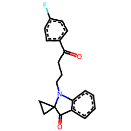 O=C(CCCN1c2ccccc2C(=O)C12CC2)c1ccc(F)cc1